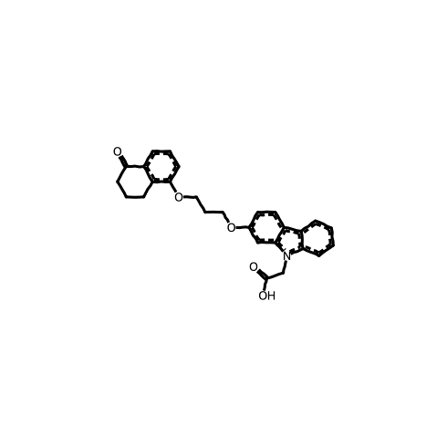 O=C(O)Cn1c2ccccc2c2ccc(OCCCOc3cccc4c3CCCC4=O)cc21